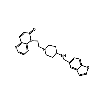 O=c1ccc2ncccc2n1CCN1CCC(NCc2ccc3sccc3c2)CC1